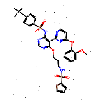 COc1ccccc1Oc1ccnc(-c2c(NS(=O)(=O)c3ccc(C(C)(C)C)cc3)ncnc2OCCCNS(=O)(=O)c2cccs2)n1